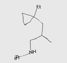 CCC1(CC(C)CNC(C)C)CC1